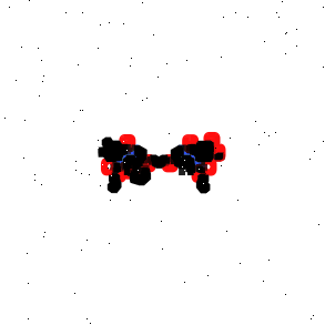 C=CCOC(=O)N1c2cc(OC)c(OC)cc2C(=O)N2CC[C@@H](OCCCO[C@@H]3CCN4C(=O)c5cc(C)c(C)cc5N(C(=O)OCC=C)C(OC5CCCCO5)[C@@H]4C3)C[C@H]2C1C